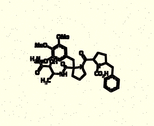 COc1cc(CC2(C(=O)NC(C)C(O)C(N)=O)CCCN2C(=O)C2CCC(Cc3ccccc3)N2C(=O)O)cc(OC)c1OC